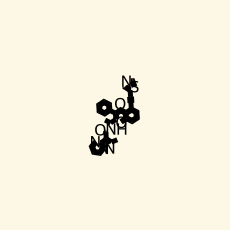 Cc1nn2cccnc2c1C(=O)NC(C)c1oc2cccc(C#Cc3cncs3)c2c(=O)c1-c1ccccc1